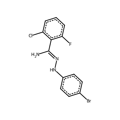 N/C(=N\Nc1ccc(Br)cc1)c1c(F)cccc1Cl